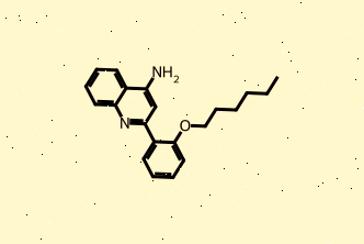 CCCCCCOc1ccccc1-c1cc(N)c2ccccc2n1